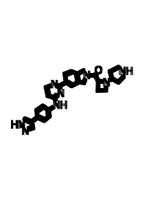 O=C(C1CCN1C1CCNCC1)N1Cc2ccc(-c3nccc(Nc4ccc(-c5cn[nH]c5)cc4)n3)cc2C1